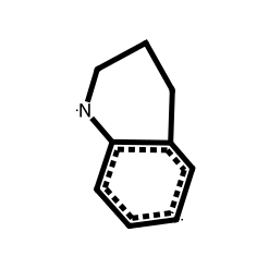 [c]1ccc2c(c1)CCC[N]2